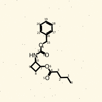 CCCCC(=O)OC1CCC1NC(=O)OCc1ccccc1